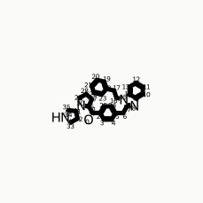 O=C(c1ccc(Cc2nc3ccccc3n2CCc2ccccc2)cc1)C1CCCN1C1CCNC1